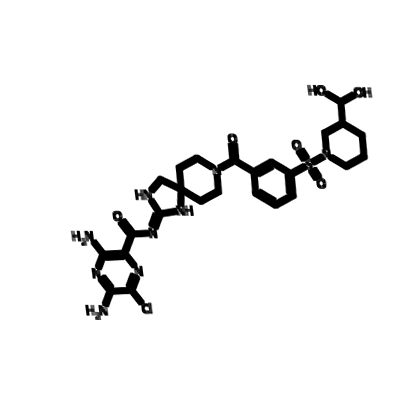 Nc1nc(N)c(C(=O)/N=C2\NCC3(CCN(C(=O)c4cccc(S(=O)(=O)N5CCCC(C(O)O)C5)c4)CC3)N2)nc1Cl